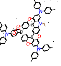 CSN1c2cc3c(cc2B2c4cc5c(cc4Oc4cc(N(c6ccc(C)cc6)c6ccc(C)cc6)cc1c42)Oc1cc(N(c2ccc(C)cc2)c2ccc(C)cc2)cc2c1B5c1ccccc1O2)B1c2ccccc2Oc2cc(N(c4ccc(C)cc4)c4ccc(C)cc4)cc(c21)O3